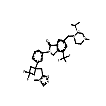 CC(C)[C@H]1CN(C)CCN1Cc1cc2c(c(C(F)(F)F)c1)CN(c1cccc(C3(Cc4nncn4C)CC(F)(F)C3)c1)C2=O